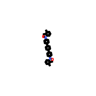 Cc1cccc2c1CON2c1ccc(-c2ccc(-c3ccc(N4OCc5c(C)cccc54)cc3)cc2)cc1